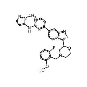 COc1cccc(F)c1CN1CCOC(c2nnc3cc(-c4ccnc(Nc5ccnn5C)n4)ccn23)C1